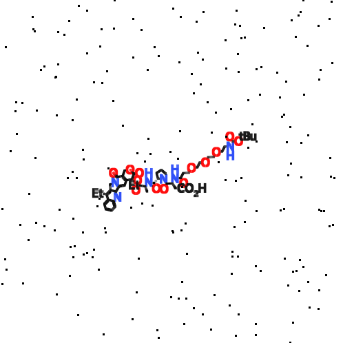 CCc1c2c(nc3ccccc13)-c1cc3c(c(=O)n1C2)COC(=O)[C@@]3(CC)OC(=O)[C@H](C)NC(=O)[C@@H]1CCCN1C(=O)[C@H](CC(=O)O)NC(=O)CCOCCOCCOCCNC(=O)OC(C)(C)C